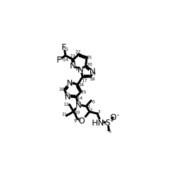 CC1C(CN[S+](C)[O-])OCC(C)(C)N1c1cc(-c2cnc3ccc(C(F)F)nn23)ncn1